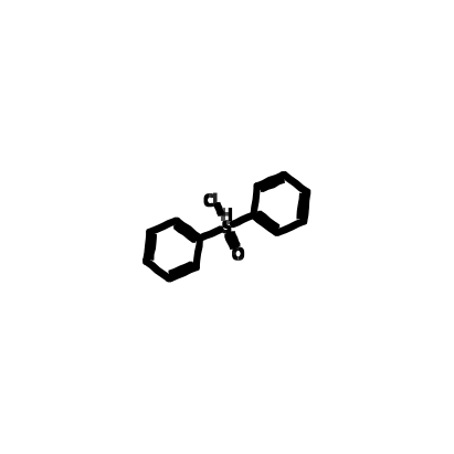 O=[SH](Cl)(c1ccccc1)c1ccccc1